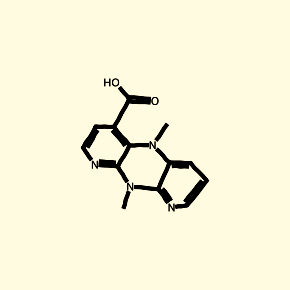 CN1c2ncccc2N(C)c2c(C(=O)O)ccnc21